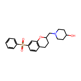 O=S(=O)(c1ccccc1)c1ccc2c(c1)OC(CN1CCC(O)CC1)CC2